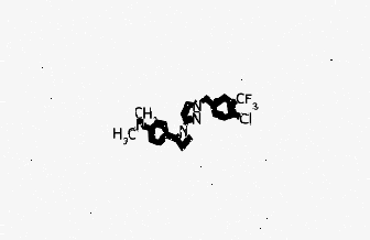 CN(C)c1ccc(C2C=CN2c2ccn(Cc3ccc(Cl)c(C(F)(F)F)c3)n2)cc1